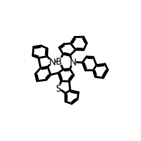 c1ccc2cc(N3c4cc5c(sc6ccccc65)c5c4B(c4ccc6ccccc6c43)n3c4ccccc4c4cccc-5c43)ccc2c1